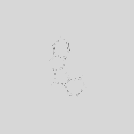 c1ccc2c(c1)oc1nc3ncncc3n12